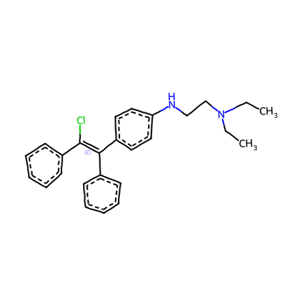 CCN(CC)CCNc1ccc(/C(=C(\Cl)c2ccccc2)c2ccccc2)cc1